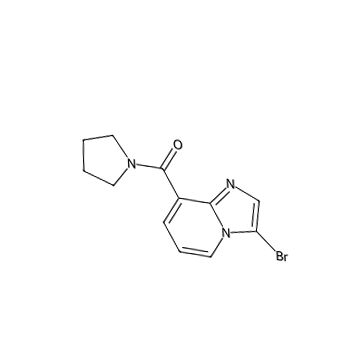 O=C(c1cccn2c(Br)cnc12)N1CCCC1